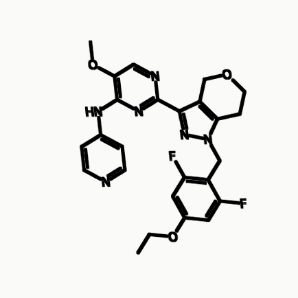 CCOc1cc(F)c(Cn2nc(-c3ncc(OC)c(Nc4ccncc4)n3)c3c2CCOC3)c(F)c1